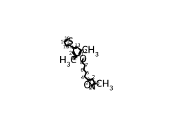 Cc1cc(CCCCCOc2c(C)cc(-c3cccs3)cc2C)on1